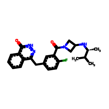 CC(C)[C@@H](C)NC1CN(C(=O)c2cc(Cc3n[nH]c(=O)c4ccccc34)ccc2F)C1